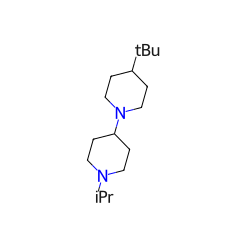 CC(C)N1CCC(N2CCC(C(C)(C)C)CC2)CC1